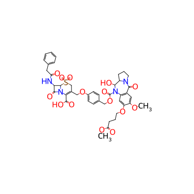 COC(=O)CCCOc1cc2c(cc1OC)C(=O)N1CCCC1C(O)N2C(=O)OCc1ccc(OCC2=C(C(=O)O)N3C(=O)C(NC(=O)Cc4ccccc4)C3S(=O)(=O)C2)cc1